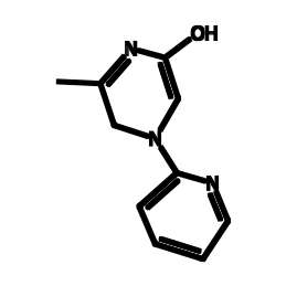 CC1=NC(O)=CN(c2ccccn2)C1